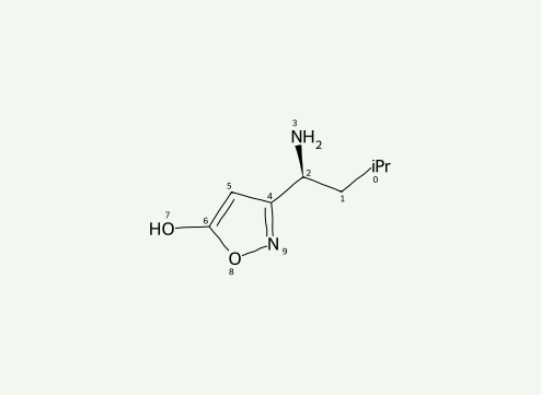 CC(C)C[C@H](N)c1cc(O)on1